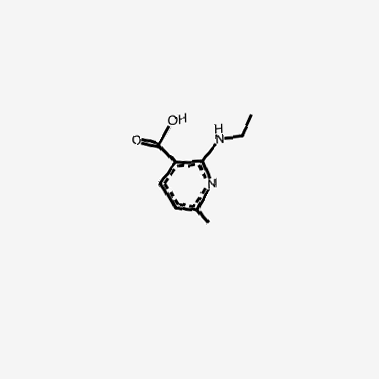 CCNc1nc(C)ccc1C(=O)O